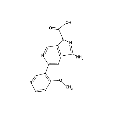 COc1ccncc1-c1cc2c(N)nn(C(=O)O)c2cn1